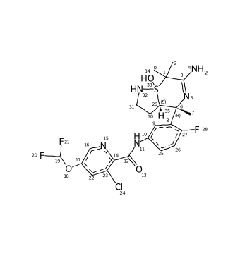 CC1(C)C(N)=N[C@](C)(c2cc(NC(=O)c3ncc(OC(F)F)cc3Cl)ccc2F)[C@@H]2CCNS21O